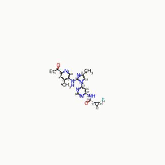 CCC(=O)c1cc(C)c(Nc2nc(C)cn2-c2cc(NC(=O)[C@H]3C[C@H]3F)ncn2)cn1